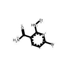 CCNc1nc(Br)ccc1C(N)=O